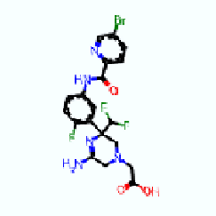 NC1=NC(c2cc(NC(=O)c3ccc(Br)cn3)ccc2F)(C(F)F)CN(CC(=O)O)C1